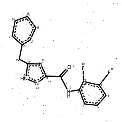 O=C(Nc1cccc(F)c1F)c1n[nH]c(Cc2ccccc2)n1